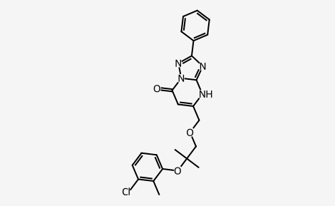 Cc1c(Cl)cccc1OC(C)(C)COCc1cc(=O)n2nc(-c3ccccc3)nc2[nH]1